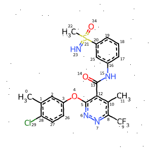 Cc1cc(Oc2nnc(C(F)(F)F)c(C)c2C(=O)Nc2cccc(S(C)(=N)=O)c2)ccc1Cl